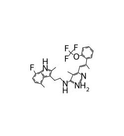 C=C(NCCc1c(C)[nH]c2c(F)ccc(C)c12)/C(C)=C(/C=C(\C)c1ccccc1OC(F)(F)F)\N=C/N